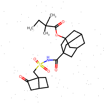 CCC(C)(C)C(=O)OC12CC3CC(C1)CC(C(=O)NS(=O)(=O)CC14CCC1CC4=O)(C3)C2